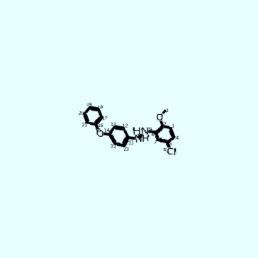 COc1ccc(Cl)cc1NNc1ccc(Oc2ccccc2)cc1